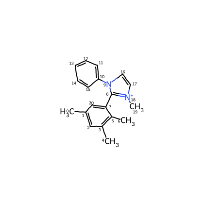 Cc1cc(C)c(C)c(-c2n(-c3ccccc3)cc[n+]2C)c1